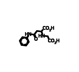 O=C(O)CNC(CC(=O)Nc1ccccc1)C(=O)O